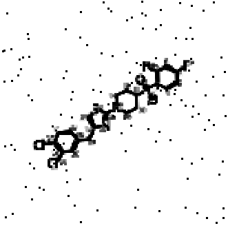 O=S(=O)(c1ccc(F)cc1F)C1CCN(c2nc(Cc3ccc(Cl)c(Cl)c3)cs2)CC1